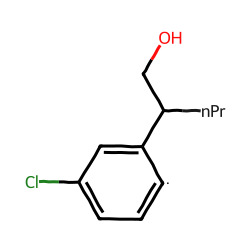 CCCC(CO)c1[c]ccc(Cl)c1